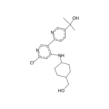 CC(C)(O)c1ccc(-c2cnc(Cl)cc2NC2CCC(CO)CC2)nc1